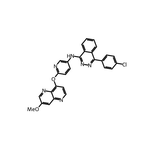 COc1cnc2c(Oc3ccc(Nc4nnc(-c5ccc(Cl)cc5)c5ccccc45)cn3)ccnc2c1